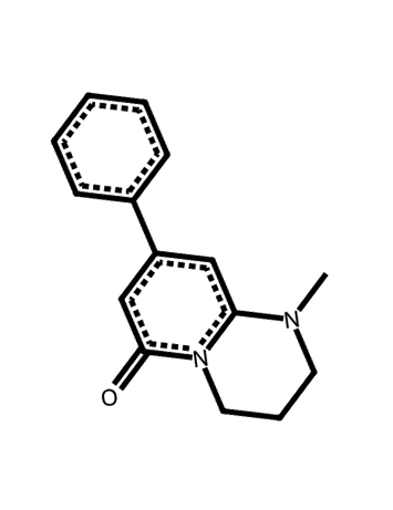 CN1CCCn2c1cc(-c1ccccc1)cc2=O